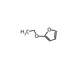 CCOc1cc[c]o1